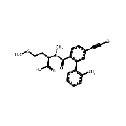 CSCCC(C(=O)O)N(C)C(=O)c1ccc(C#CBr)cc1-c1ccccc1C